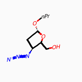 CCCO[C@H]1C[C@H](N=[N+]=[N-])C(CO)O1